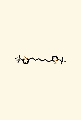 [CH3][Sn]([CH3])([CH3])[c]1ccc(CCCCCCc2cc[c]([Sn]([CH3])([CH3])[CH3])s2)s1